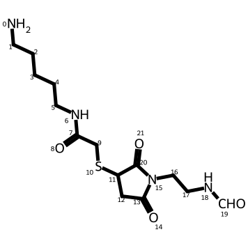 NCCCCCNC(=O)CSC1CC(=O)N(CCNC=O)C1=O